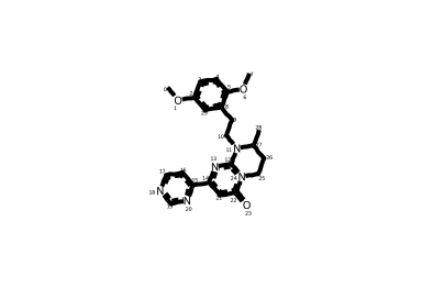 COc1ccc(OC)c(CCN2c3nc(-c4ccncn4)cc(=O)n3CCC2C)c1